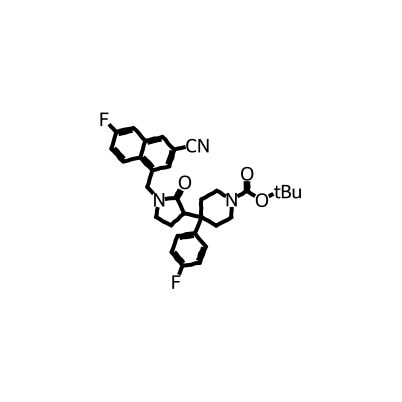 CC(C)(C)OC(=O)N1CCC(c2ccc(F)cc2)(C2CCN(Cc3cc(C#N)cc4cc(F)ccc34)C2=O)CC1